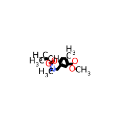 COC(=O)c1cc(CN(C)C(=O)OC(C)(C)C)ccc1C